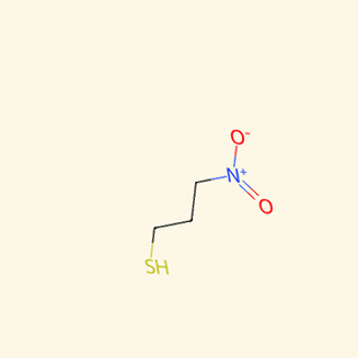 O=[N+]([O-])CCCS